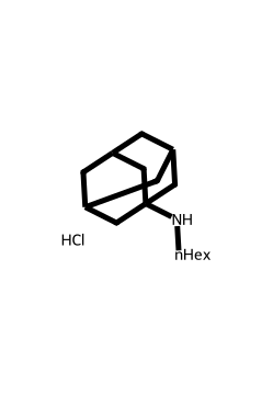 CCCCCCNC12CC3CC(CC(C3)C1)C2.Cl